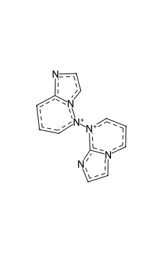 c1cn2ccnc2[n+](-[n+]2cccc3nccn32)c1